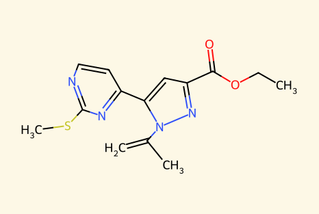 C=C(C)n1nc(C(=O)OCC)cc1-c1ccnc(SC)n1